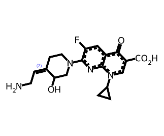 NC/C=C1/CCN(c2nc3c(cc2F)c(=O)c(C(=O)O)cn3C2CC2)CC1O